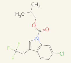 CC(C)COC(=O)n1cc(CC(F)(F)F)c2ccc(Cl)cc21